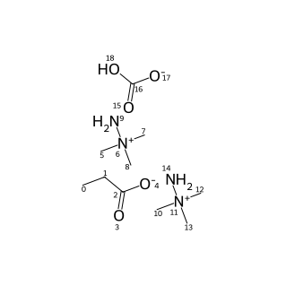 CCC(=O)[O-].C[N+](C)(C)N.C[N+](C)(C)N.O=C([O-])O